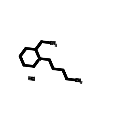 CCCCCN1CCCCC1CC.Cl